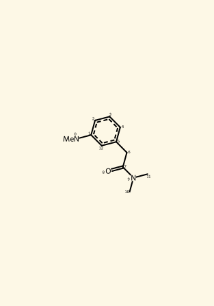 CNc1cccc(CC(=O)N(C)C)c1